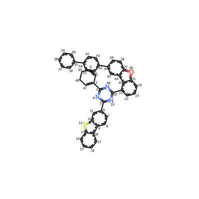 C1=CC(c2nc(-c3ccc4c(c3)sc3ccccc34)nc(-c3cccc4oc5ccc(-c6ccc(-c7ccccc7)cc6)cc5c34)n2)=CCC1